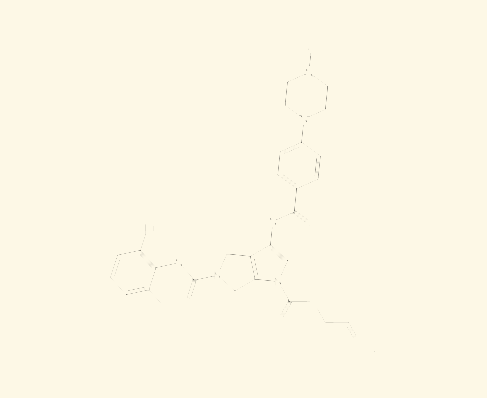 C=CCOC(=O)n1cc(NC(=O)c2ccc(N3CCN(C)CC3)cc2)c2c1CN(C(=O)Nc1c(CC)cccc1CC)C2